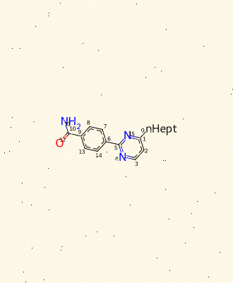 CCCCCCCc1ccnc(-c2ccc(C(N)=O)cc2)n1